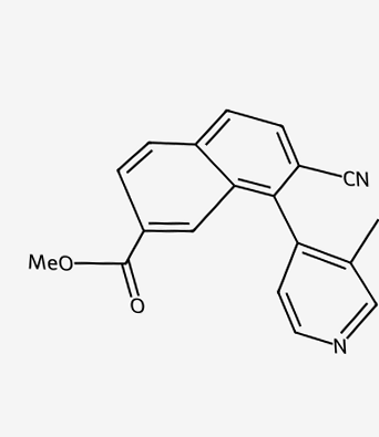 COC(=O)c1ccc2ccc(C#N)c(-c3ccncc3C)c2c1